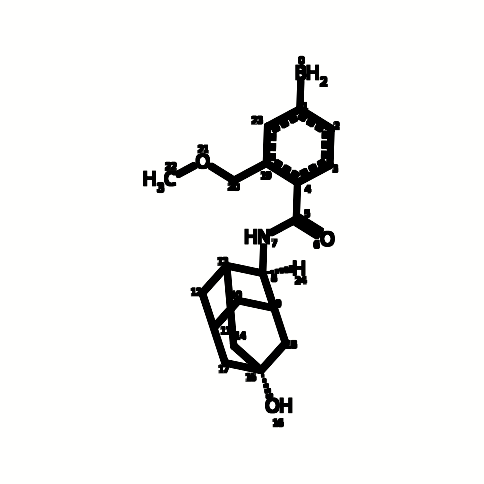 Bc1ccc(C(=O)N[C@H]2C3CC4CC2C[C@](O)(C4)C3)c(COC)c1